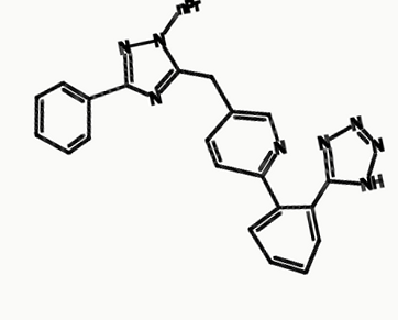 CCCn1nc(-c2ccccc2)nc1Cc1ccc(-c2ccccc2-c2nnn[nH]2)nc1